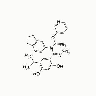 C/N=C(/c1cc(C(C)C)c(O)cc1O)N(C(=N)Oc1cccnc1)c1ccc2c(c1)CCC2